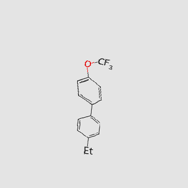 CCc1ccc(-c2ccc(OC(F)(F)F)cc2)cc1